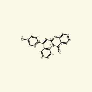 O=c1c2ccccc2nc(/C=C/c2ccc(Cl)cc2)n1-c1ccccc1